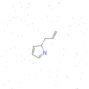 C=CCC1C=CC=N1